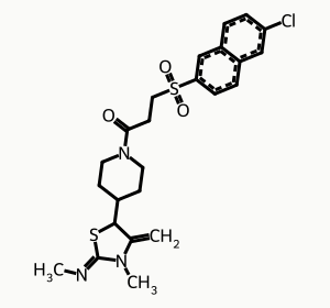 C=C1C(C2CCN(C(=O)CCS(=O)(=O)c3ccc4cc(Cl)ccc4c3)CC2)S/C(=N\C)N1C